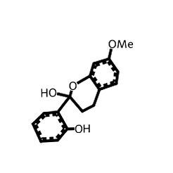 COc1ccc2c(c1)OC(O)(c1ccccc1O)CC2